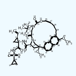 C=C[C@@H]1C[C@]1(NC(=O)[C@@H]1C[C@]2(OC)CN1C(=O)[C@H](C(C)(C)C)NC(=O)OCCCCc1cc3cc2ccc3cc1OC)C(=O)NS(=O)(=O)C1CC1